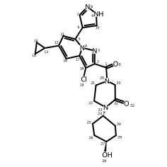 O=C(c1nn2c(-c3cn[nH]c3)cc(C3CC3)cc2c1Cl)N1CCN([C@H]2CC[C@H](O)CC2)C(=O)C1